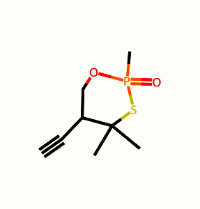 C#CC1COP(C)(=O)SC1(C)C